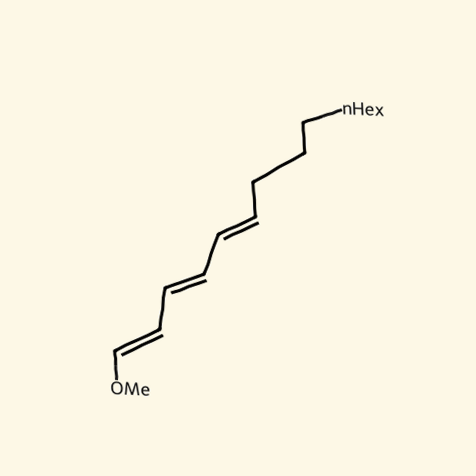 [CH2]OC=CC=CC=CCCCCCCCCC